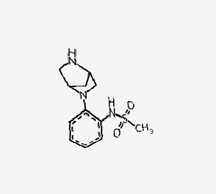 CS(=O)(=O)Nc1ccccc1N1CC2CC1CN2